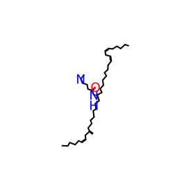 C=C(C/C=C\CCCCC)CCCCCCCCC(CCCCCCCC/C=C\C/C=C\CCCCC)NC(=O)CCCN(C)C